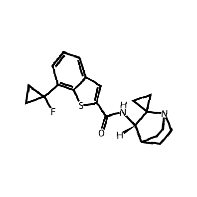 O=C(N[C@H]1C2CCN(CC2)C12CC2)c1cc2cccc(C3(F)CC3)c2s1